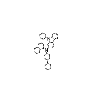 c1ccc(-c2ccc(-n3c4ccc5c6ccccc6n(-c6ccccc6)c5c4c4ccc5ccccc5c43)cc2)cc1